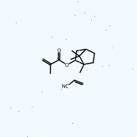 C=C(C)C(=O)OC1CC2CCC1(C)C2(C)C.C=CC#N